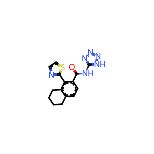 O=C(Nc1nnn[nH]1)c1ccc2c(c1-c1nccs1)CCCC2